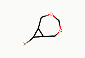 BrC1C2COCOCC12